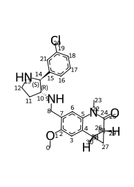 COc1cc2c(cc1CN[C@@H]1CCN[C@H]1c1cccc(Cl)c1)N(C)C(=O)[C@@H]1C[C@H]21